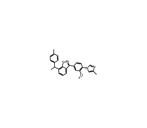 COc1cc(-c2nsc3c(C(C)c4ccc(C)cc4)cccc23)ccc1-n1cnc(C)c1